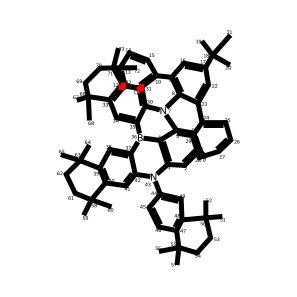 Cc1cc2c3c(c1)N(c1c(-c4ccccc4)cc(C(C)(C)C)cc1-c1ccccc1)c1cc4c(cc1B3c1cc3c(cc1N2c1ccc2c(c1)C(C)(C)CCC2(C)C)C(C)(C)CCC3(C)C)C(C)(C)CCC4(C)C